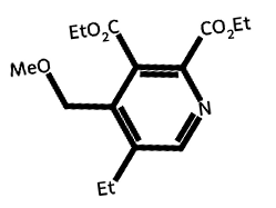 CCOC(=O)c1ncc(CC)c(COC)c1C(=O)OCC